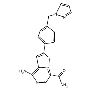 NC(=O)c1cnc(N)c2cc(-c3ccc(Cn4cccn4)cc3)sc12